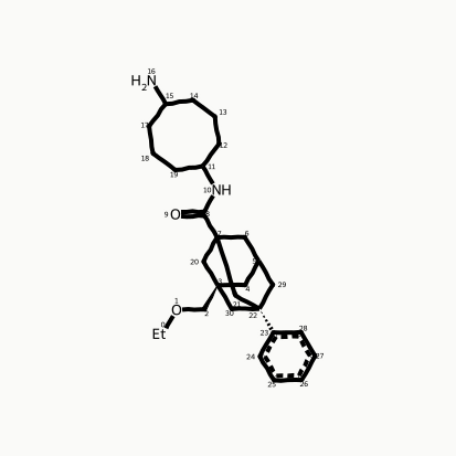 CCOC[C@]12CC3CC(C(=O)NC4CCCC(N)CCC4)(C1)C[C@@](c1ccccc1)(C3)C2